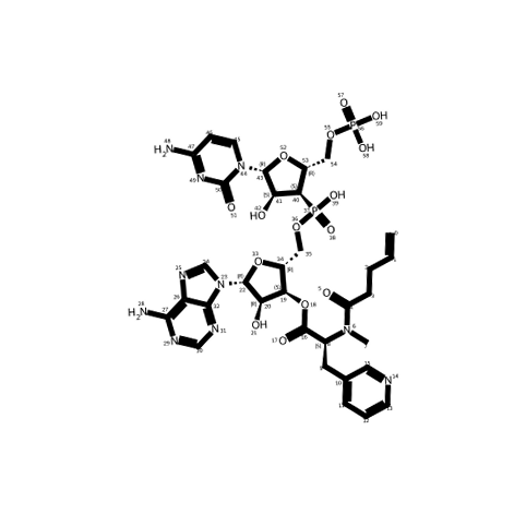 C=CCCC(=O)N(C)[C@@H](Cc1cccnc1)C(=O)O[C@H]1[C@@H](O)[C@H](n2cnc3c(N)ncnc32)O[C@@H]1COP(=O)(O)[C@H]1[C@@H](O)[C@H](n2ccc(N)nc2=O)O[C@@H]1COP(=O)(O)O